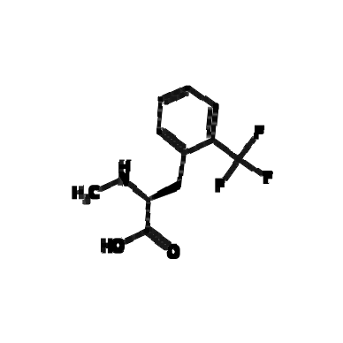 CN[C@@H](Cc1ccccc1C(F)(F)F)C(=O)O